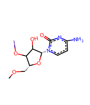 COC[C@H]1O[C@@H](n2ccc(N)nc2=O)C(O)C1OI